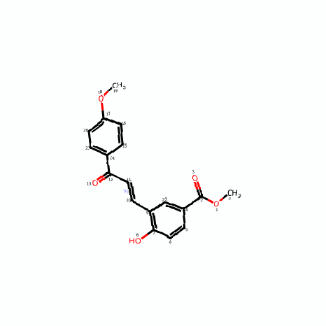 COC(=O)c1ccc(O)c(/C=C/C(=O)c2ccc(OC)cc2)c1